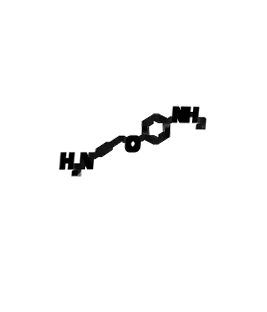 NC#CCOc1ccc(N)cc1